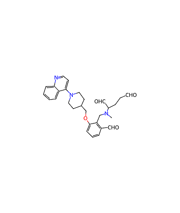 CN(Cc1c(C=O)cccc1OCC1CCN(c2ccnc3ccccc23)CC1)C(C=O)CCC=O